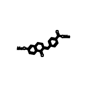 COC(=O)c1ccc(/C=C2\CCc3cc(OC)ccc3C2=O)cc1